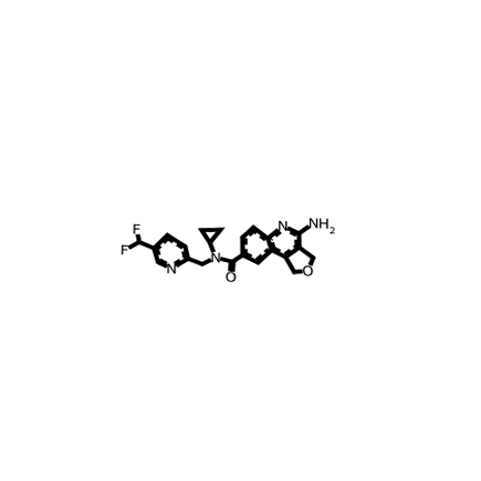 Nc1nc2ccc(C(=O)N(Cc3ccc(C(F)F)cn3)C3CC3)cc2c2c1COC2